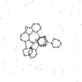 c1ccc(-c2nc(-c3ccccn3)nc(-c3cccc4oc5ccc6c7ccccc7n(-c7ccccc7)c6c5c34)n2)cc1